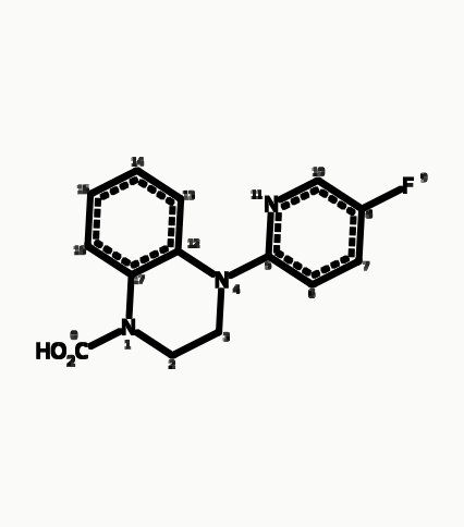 O=C(O)N1CCN(c2ccc(F)cn2)c2ccccc21